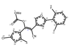 COC(=O)O/C(=C(/C#N)c1coc(-c2c(F)cccc2F)n1)c1sc(Cl)nc1C